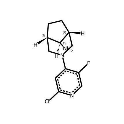 N[C@@H]1[C@@H]2CC[C@H]1CN(c1cc(Cl)ncc1F)C2